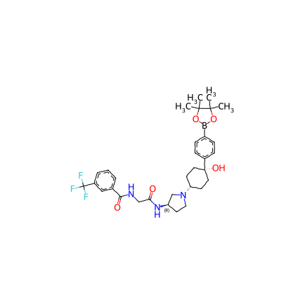 CC1(C)OB(c2ccc([C@]3(O)CC[C@@H](N4CC[C@@H](NC(=O)CNC(=O)c5cccc(C(F)(F)F)c5)C4)CC3)cc2)OC1(C)C